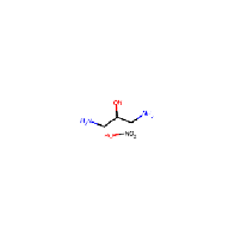 NCC(O)CN.O=[N+]([O-])O